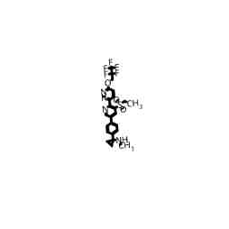 CCS(=O)(=O)c1cc(-c2ccc(C3(NC)CC3)cc2)cnc1-c1ccc(OCC(F)(F)C(F)(F)F)nn1